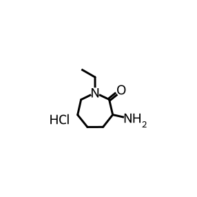 CCN1CCCCC(N)C1=O.Cl